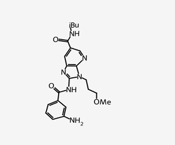 CCC(C)NC(=O)c1cnc2c(c1)nc(NC(=O)c1cccc(N)c1)n2CCCOC